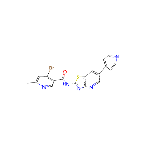 Cc1cc(Br)c(C(=O)Nc2nc3ncc(-c4ccncc4)cc3s2)cn1